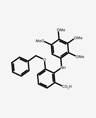 COc1cc(Nc2c(OCc3ccccc3)cccc2C(=O)O)c(OC)c(OC)c1OC